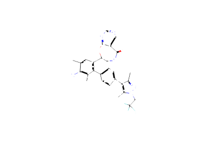 Cc1cc(C2CNC(=O)c3cncnc3O2)c(-c2ccc(-c3c(C)nn(CC(F)(F)F)c3C)cc2)c(C)c1N